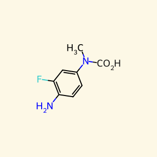 CN(C(=O)O)c1ccc(N)c(F)c1